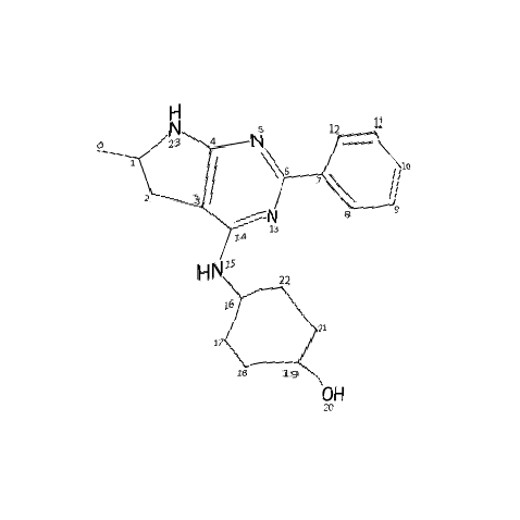 CC1Cc2c(nc(-c3ccccc3)nc2NC2CCC(O)CC2)N1